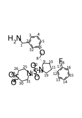 NCc1cccc(OC[C@@H]2C[C@H](c3ccccc3F)CN2S(=O)(=O)N2CCS(=O)(=O)CC2)c1